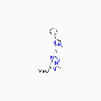 COc1cc2nc(/C=C/c3nc(-c4ccccc4)cn3C)nn2c(C)n1